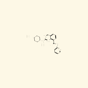 O=C(Nc1ccccn1)c1cccc2cnc(N[C@H]3CC[C@H](O)CC3)nc12